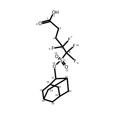 O=C(O)CCC(F)(F)C(F)(F)S(=O)(=O)OC1C2CC3CC(C2)CC1C3